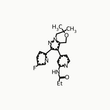 CCC(=O)Nc1cc(-c2c(-c3ccc(F)cn3)nn3c2COC(C)(C)C3)ccn1